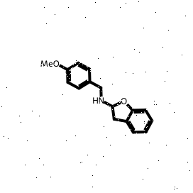 COc1ccc(CNC2Cc3ccccc3O2)cc1